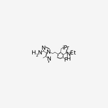 C=N/C(C)=C1/C(N)=NC=CN1CCc1ccc(F)c(C(=C)NCC)c1CC(C)C